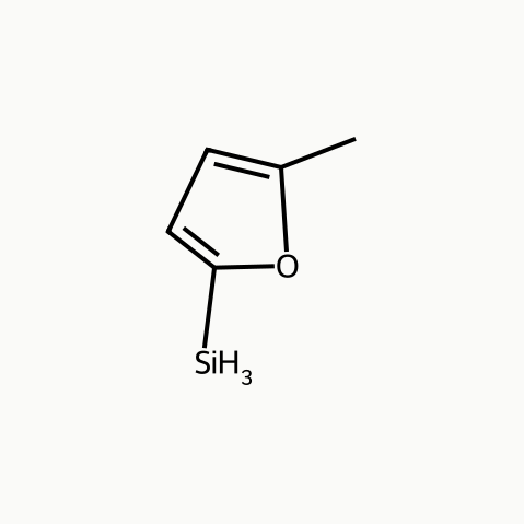 Cc1ccc([SiH3])o1